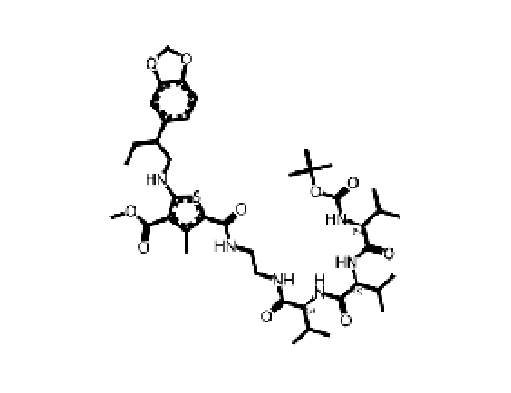 CCC(CNc1sc(C(=O)NCCNC(=O)[C@@H](NC(=O)[C@@H](NC(=O)[C@@H](NC(=O)OC(C)(C)C)C(C)C)C(C)C)C(C)C)c(C)c1C(=O)OC)c1ccc2c(c1)OCO2